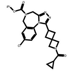 CC(C)OC(=O)N1Cc2cc(Cl)ccc2-n2c(nnc2C2CC3(C2)CN(C(=O)C2CC2)C3)C1